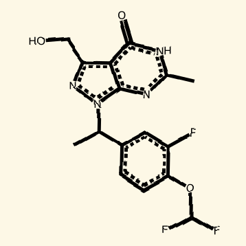 Cc1nc2c(c(CO)nn2C(C)c2ccc(OC(F)F)c(F)c2)c(=O)[nH]1